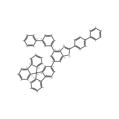 c1ccc(-c2ccc(-c3nc4c(-c5cccc(-c6ccccc6)c5)cc(-c5ccc6c(c5)C5(c7ccccc7-c7ccccc75)c5ccccc5-6)cc4s3)cc2)cc1